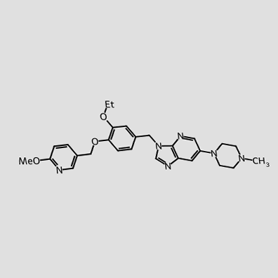 CCOc1cc(Cn2cnc3cc(N4CCN(C)CC4)cnc32)ccc1OCc1ccc(OC)nc1